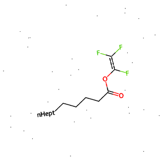 CCCCCCCCCCCC(=O)OC(F)=C(F)F